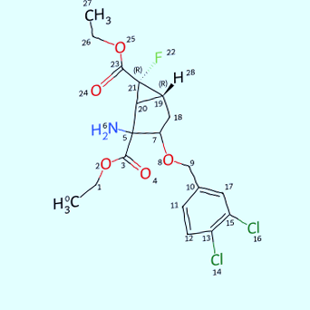 CCOC(=O)C1(N)C(OCc2ccc(Cl)c(Cl)c2)C[C@@H]2C1[C@@]2(F)C(=O)OCC